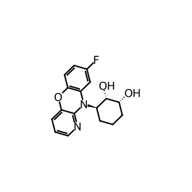 O[C@@H]1[C@H](O)CCC[C@H]1N1c2cc(F)ccc2Oc2cccnc21